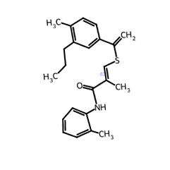 C=C(S/C=C(\C)C(=O)Nc1ccccc1C)c1ccc(C)c(CCC)c1